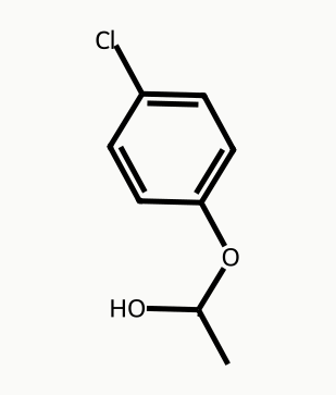 C[C](O)Oc1ccc(Cl)cc1